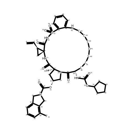 C=C[C@@H]1C[C@@]12NC(=O)[C@@H]1C[C@@H](OC(=O)N3Cc4cccc(F)c4C3)CN1C(=O)[C@@H](NC(=O)OC1CCCC1)CCCOCCCNc1ccccc1S(=O)(=O)NC2=O